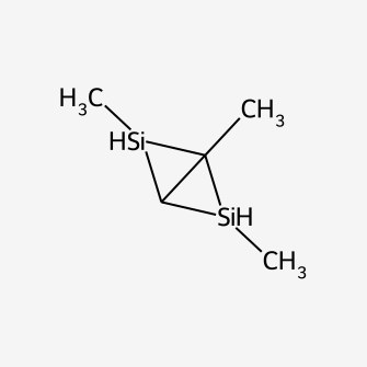 C[SiH]1C2[SiH](C)C21C